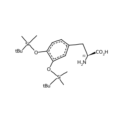 CC(C)(C)[Si](C)(C)Oc1ccc(C[C@H](N)C(=O)O)cc1O[Si](C)(C)C(C)(C)C